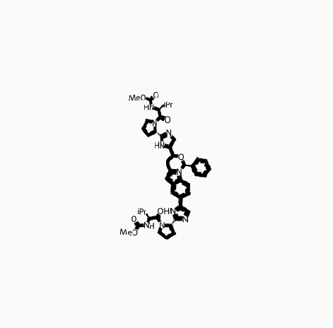 COC(=O)N[C@H](C(=O)N1CCC[C@H]1C1=NCC(C2Cc3cc4cc(-c5cnc([C@@H]6CCCN6C(=O)[C@@H](NC(=O)OC)C(C)C)[nH]5)ccc4n3[C@H](c3ccccc3)O2)N1)C(C)C